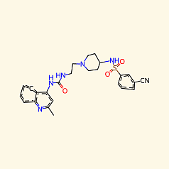 Cc1cc(NC(=O)NCCN2CCC(NS(=O)(=O)c3cccc(C#N)c3)CC2)c2ccccc2n1